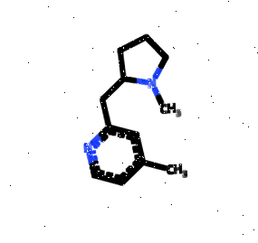 Cc1ccnc(CC2CCCN2C)c1